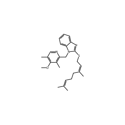 COc1c(C)cnc(Cn2c(SCC=C(C)CCC=C(C)C)nc3ccccc32)c1C